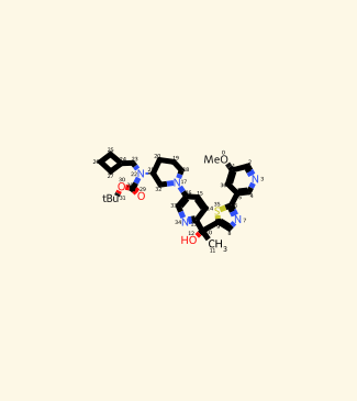 COc1cncc(-c2ncc(C(C)(O)c3ccc(N4CCC[C@@H](N(CC5CCC5)C(=O)OC(C)(C)C)C4)cn3)s2)c1